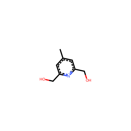 Cc1cc(CO)nc(CO)c1